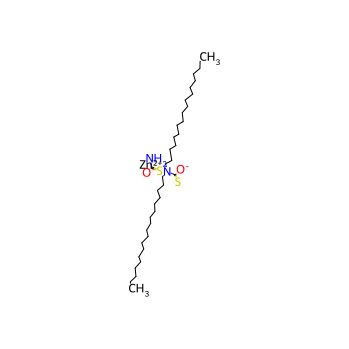 CCCCCCCCCCCCCCCCCCN(CCCCCCCCCCCCCCCCCC)C([O-])=S.NC([O-])=S.[Zn+2]